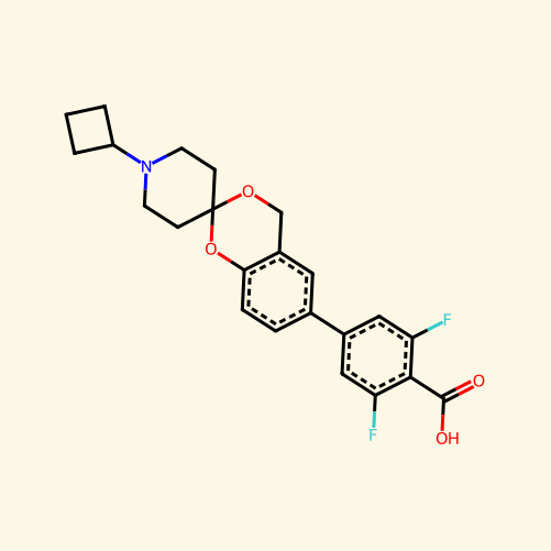 O=C(O)c1c(F)cc(-c2ccc3c(c2)COC2(CCN(C4CCC4)CC2)O3)cc1F